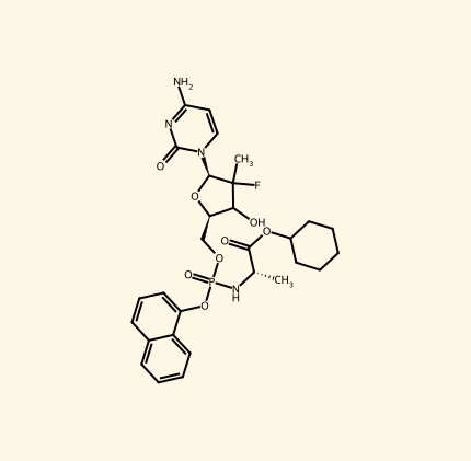 C[C@H](NP(=O)(OC[C@H]1O[C@@H](n2ccc(N)nc2=O)C(C)(F)C1O)Oc1cccc2ccccc12)C(=O)OC1CCCCC1